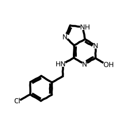 Oc1nc(NCc2ccc(Cl)cc2)c2nc[nH]c2n1